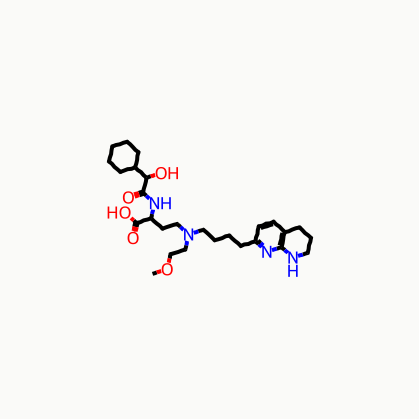 COCCN(CCCCc1ccc2c(n1)NCCC2)CCC(NC(=O)C(O)C1CCCCC1)C(=O)O